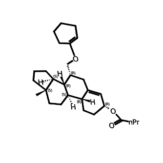 CCCC(=O)O[C@H]1C=C2C[C@@H](COC3=CCCCC3)[C@@H]3[C@H](CC[C@]4(C)CCC[C@@H]34)[C@H]2CC1